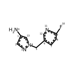 Nc1cnn(Cc2ccc(F)nc2)c1